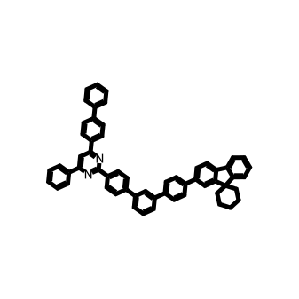 c1ccc(-c2ccc(-c3cc(-c4ccccc4)nc(-c4ccc(-c5cccc(-c6ccc(-c7ccc8c(c7)C7(CCCCC7)c7ccccc7-8)cc6)c5)cc4)n3)cc2)cc1